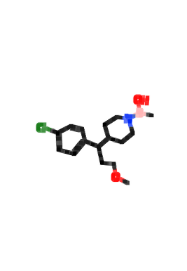 COCCC(c1ccc(Cl)cc1)C1CCN(B(C)O)CC1